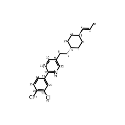 CC=C[C@H]1CC[C@H](CCc2cnc(-c3ccc(Cl)c(Cl)c3)nc2)CC1